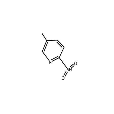 Cc1ccc([SH](=O)=O)nc1